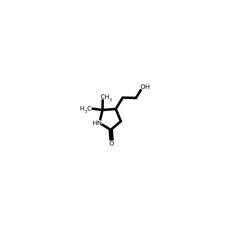 CC1(C)NC(=O)CC1CCO